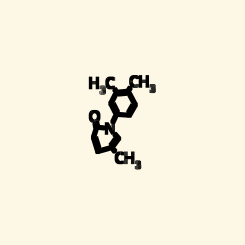 Cc1ccc(=O)n(-c2ccc(C)c(C)c2)c1